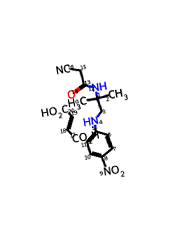 CC(C)(CNc1ccc([N+](=O)[O-])cc1)NC(=O)CC#N.O=C(O)/C=C/C(=O)O